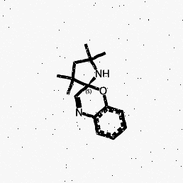 CC1(C)CC(C)(C)[C@]2(C=Nc3ccccc3O2)N1